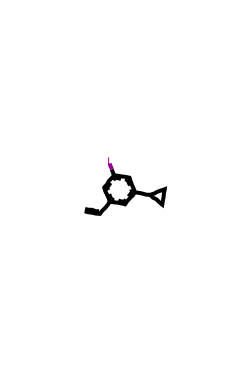 C=Cc1cc(I)cc(C2CC2)c1